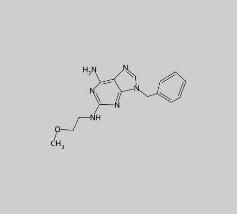 COCCNc1nc(N)c2ncn(Cc3ccccc3)c2n1